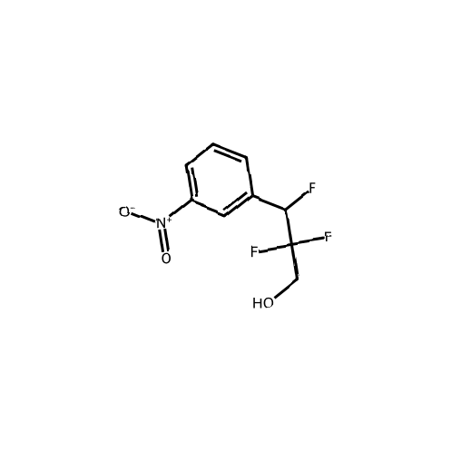 O=[N+]([O-])c1cccc(C(F)C(F)(F)CO)c1